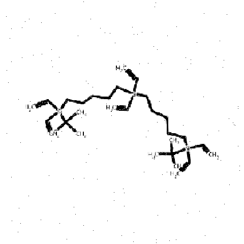 C=C[Si](C=C)(CCCCC[Si](C=C)(C=C)C(C)(C)C)CCCCC[Si](C=C)(C=C)C(C)(C)C